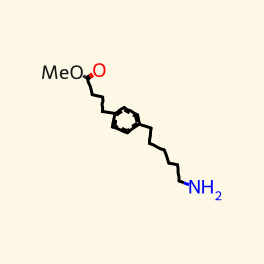 COC(=O)CCCc1ccc(CCCCCCN)cc1